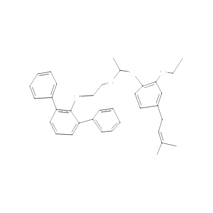 CCOc1cc(CC=C(C)C)ccc1OC(C)OCCOc1c(-c2ccccc2)cccc1-c1ccccc1